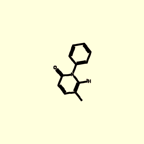 [2H]c1c(C)ccc(=O)n1-c1ccccc1